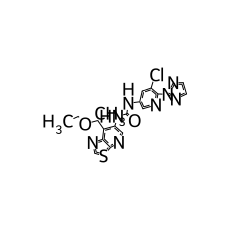 CCOC(C)c1c(NC(=O)Nc2cnc(-n3nccn3)c(Cl)c2)cnc2scnc12